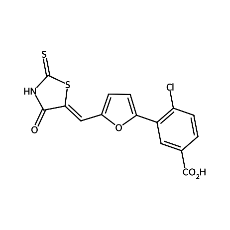 O=C1NC(=S)S/C1=C\c1ccc(-c2cc(C(=O)O)ccc2Cl)o1